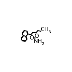 CCCCCC(OC(N)=O)c1cccc2ccccc12